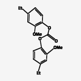 CCc1ccc(OC(=O)Oc2ccc(CC)cc2OC)c(OC)c1